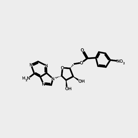 Nc1ncnc2c1ncn2[C@@H]1O[C@H](COC(=O)c2ccc([N+](=O)[O-])cc2)[C@@H](O)[C@H]1O